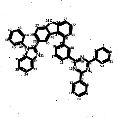 c1ccc(-c2nc(-c3ccccc3)nc(-c3cccc(-c4cccc5sc6ccc(-c7nc8ccccc8n7-c7ccccc7)cc6c45)c3)n2)cc1